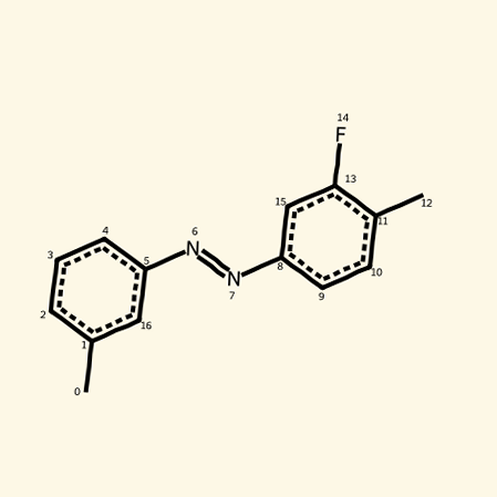 Cc1cccc(N=Nc2ccc(C)c(F)c2)c1